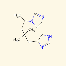 CC(CC(C)(C)CC1CNC=N1)N1C=NCC1